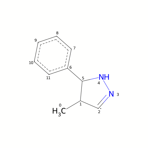 CC1[C]=NNC1c1ccccc1